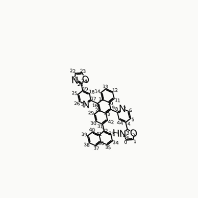 C1=COC(c2ccnc(-c3c4ccccc4c(-c4cc(-c5ncco5)ccn4)c4ccc(-c5cccc6ccccc56)cc34)c2)N1